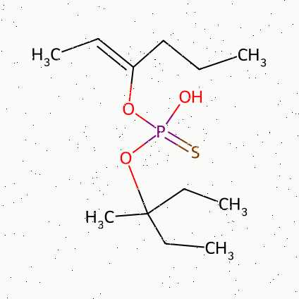 C/C=C(/CCC)OP(O)(=S)OC(C)(CC)CC